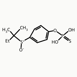 CCC(C)(C)[S+]([O-])c1ccc(OP(O)(O)=S)cc1